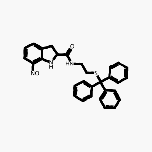 O=Nc1cccc2c1NC(C(=O)NCCSC(c1ccccc1)(c1ccccc1)c1ccccc1)C2